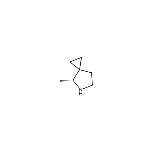 C[C@H]1NCCC12CC2